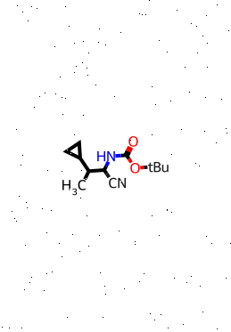 CC(C1CC1)C(C#N)NC(=O)OC(C)(C)C